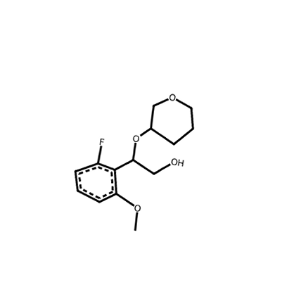 COc1cccc(F)c1C(CO)OC1CCCOC1